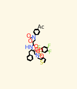 CC(=O)c1ccc(N2CC(C(=O)NC(Cc3ccccc3)[C@@H](O)CN(Cc3cccs3)S(=O)(=O)c3cc(F)c(F)cc3F)OC2=O)cc1